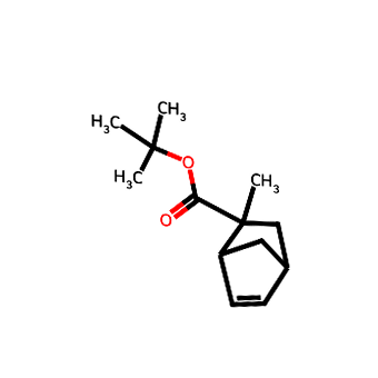 CC(C)(C)OC(=O)C1(C)CC2C=CC1C2